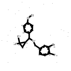 CCOc1ccc(C(OCc2ccc(F)c(Br)c2)C2CC2(F)F)cc1